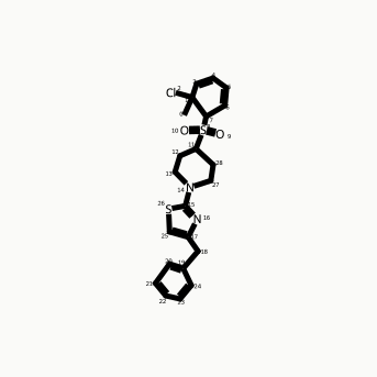 CC1(Cl)C=CC=CC1S(=O)(=O)C1CCN(c2nc(Cc3ccccc3)cs2)CC1